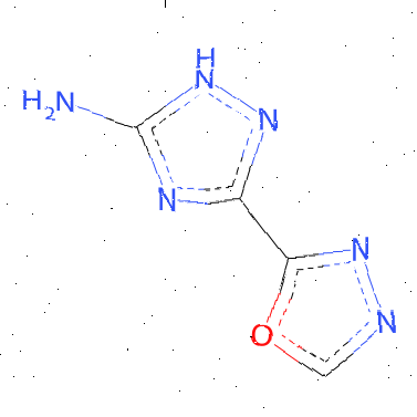 Nc1nc(-c2nnco2)n[nH]1